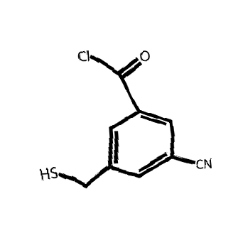 N#Cc1cc(CS)cc(C(=O)Cl)c1